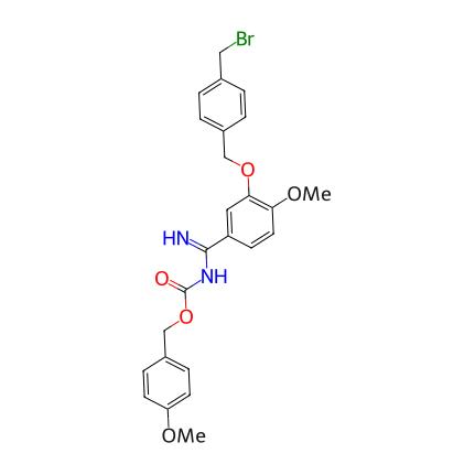 COc1ccc(COC(=O)NC(=N)c2ccc(OC)c(OCc3ccc(CBr)cc3)c2)cc1